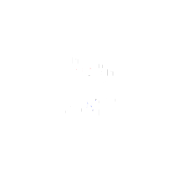 CCCCCCCC[N+](C)(CCCCCCCC)CCC[Si](OCCC)(OCCC)OCCC.[Cl-]